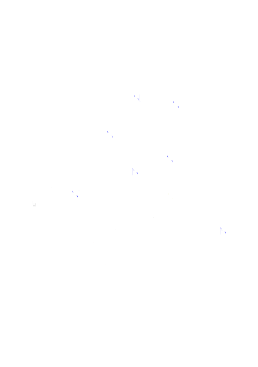 CC(C)(C)CNCCn1c(Sc2cc3c(cc2-c2cc[nH]c2)OCO3)nc2c(N)ncnc21